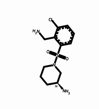 NCc1c(Cl)cccc1S(=O)(=O)N1CCC[C@H](N)C1